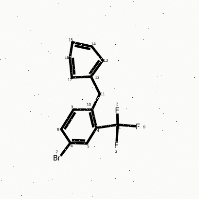 FC(F)(F)c1cc(Br)ccc1Cc1ccccc1